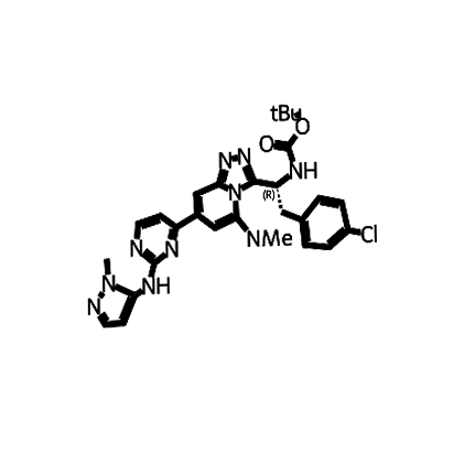 CNc1cc(-c2ccnc(Nc3ccnn3C)n2)cc2nnc([C@@H](Cc3ccc(Cl)cc3)NC(=O)OC(C)(C)C)n12